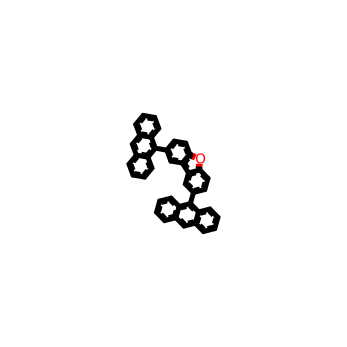 c1ccc2c(-c3ccc4oc5ccc(-c6c7ccccc7cc7ccccc67)cc5c4c3)c3ccccc3cc2c1